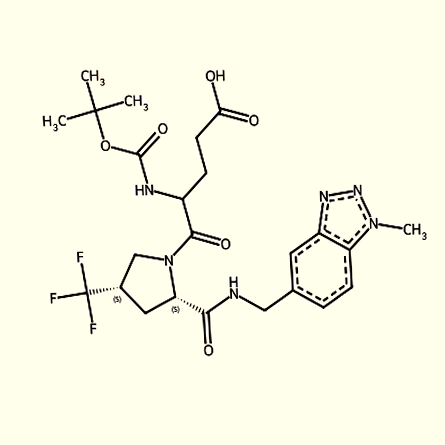 Cn1nnc2cc(CNC(=O)[C@@H]3C[C@H](C(F)(F)F)CN3C(=O)C(CCC(=O)O)NC(=O)OC(C)(C)C)ccc21